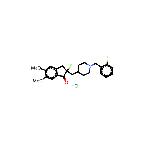 COc1cc2c(cc1OC)C(=O)C(F)(CC1CCN(Cc3ccccc3F)CC1)C2.Cl